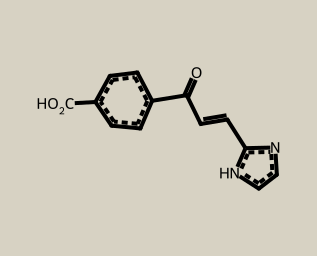 O=C(O)c1ccc(C(=O)C=Cc2ncc[nH]2)cc1